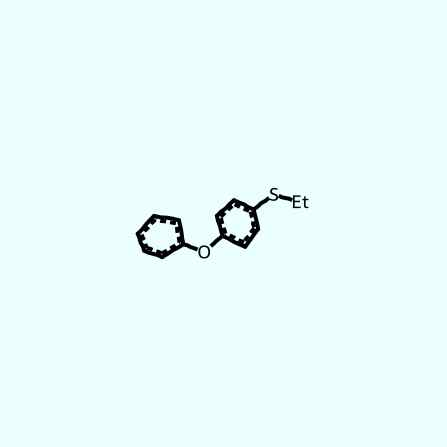 CCSc1ccc(Oc2ccccc2)cc1